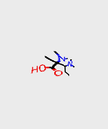 CCC(N(C)C)C(C)(C(=O)O)N(C)C